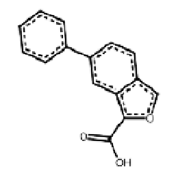 O=C(O)c1occ2ccc(-c3ccccc3)cc12